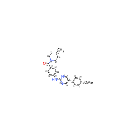 COc1ccc(-c2cnc(Nc3ccc(C(=O)N4CCC(C)CC4)cc3)nc2)cc1